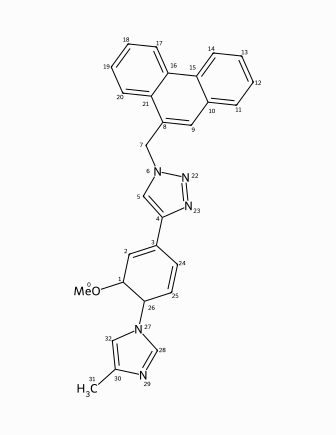 COC1C=C(c2cn(Cc3cc4ccccc4c4ccccc34)nn2)C=CC1n1cnc(C)c1